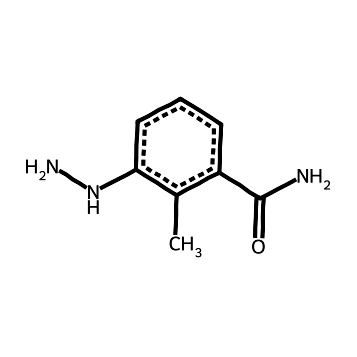 Cc1c(NN)cccc1C(N)=O